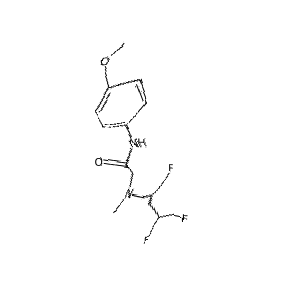 COc1ccc(NC(=O)N(C)C(F)C(F)F)cc1